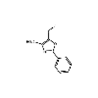 O=C(O)c1nc(-c2ccccc2)oc1CF